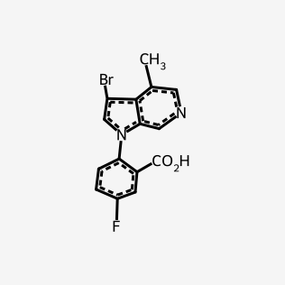 Cc1cncc2c1c(Br)cn2-c1ccc(F)cc1C(=O)O